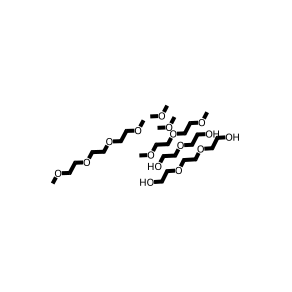 COC.COC.COCCOCCOC.COCCOCCOCCOC.OCCOCCO.OCCOCCOCCO